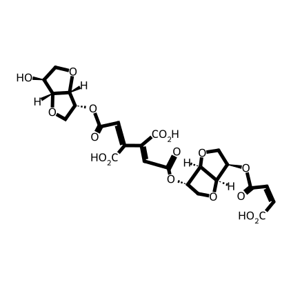 O=C(O)/C=C\C(=O)O[C@@H]1CO[C@H]2[C@@H]1OC[C@@H]2OC(=O)/C=C(C(=O)O)/C(=C/C(=O)O[C@@H]1CO[C@H]2[C@@H]1OC[C@@H]2O)C(=O)O